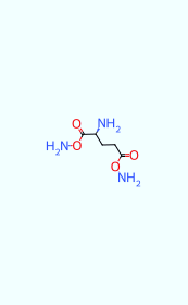 NOC(=O)CC[C@H](N)C(=O)ON